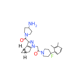 Cc1cccc(C2(F)CCN(C(=O)Cn3nc(C(=O)N4CCC(N)CC4)c4c3C[C@H]3C[C@@H]43)CC2)c1C